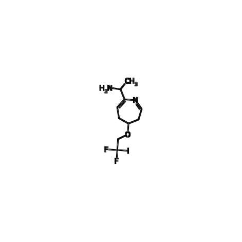 CC(N)C1=CCC(OCC(F)(F)I)CC=N1